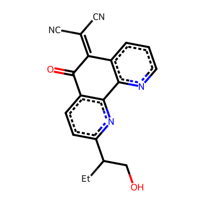 CCC(CO)c1ccc2c(n1)-c1ncccc1C(=C(C#N)C#N)C2=O